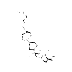 CCCCCC1CCC(C2CCC(C(F)(F)Cc3ccc(F)c(F)c3)CC2)CC1